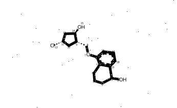 OC1CCCc2c(OC[C@@H]3C[C@H](Cl)C[C@H]3O)cccc21